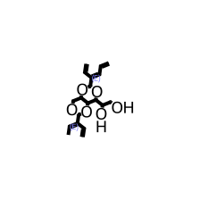 C=C/C=C(\C=C)C1OC2COC(/C(C=C)=C/C)OC2C(C(O)CO)O1